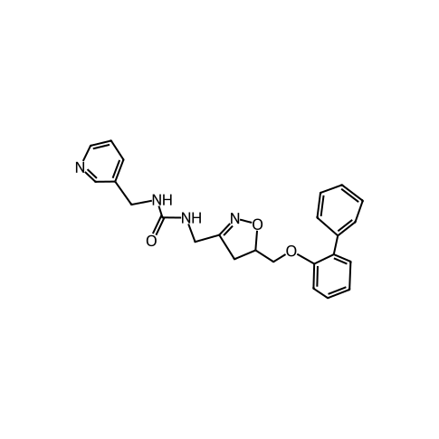 O=C(NCC1=NOC(COc2ccccc2-c2ccccc2)C1)NCc1cccnc1